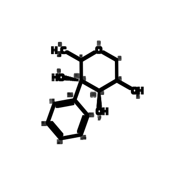 CC1OCC(O)[C@@H](O)[C@@]1(O)c1ccccc1